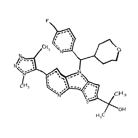 Cc1nnn(C)c1-c1cnc2c3sc(C(C)(C)O)cc3n(C(c3ccc(F)cn3)C3CCOCC3)c2c1